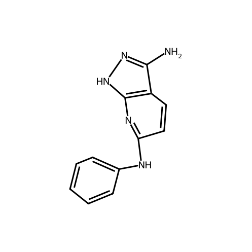 Nc1n[nH]c2nc(Nc3ccccc3)ccc12